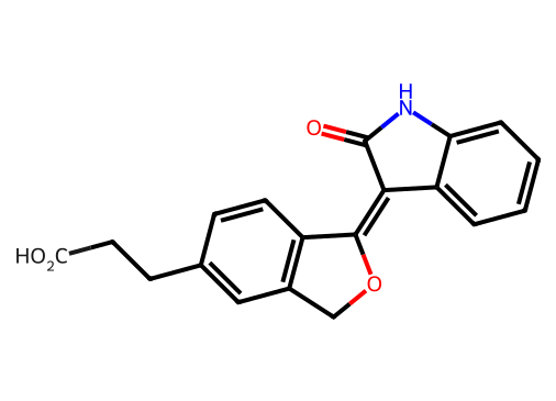 O=C(O)CCc1ccc2c(c1)COC2=C1C(=O)Nc2ccccc21